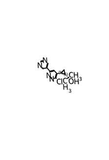 CC(C)(O)[C@H]1C[C@@H]1c1cc(-c2cncnc2)nnc1Cl